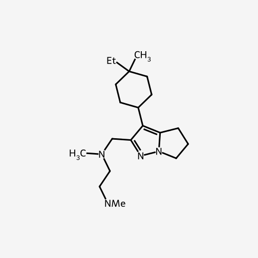 CCC1(C)CCC(c2c(CN(C)CCNC)nn3c2CCC3)CC1